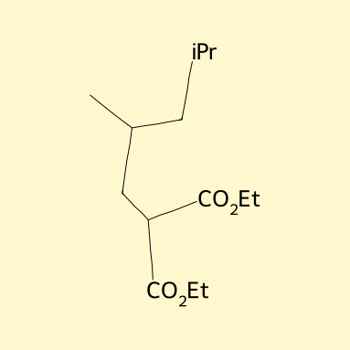 CCOC(=O)C(CC(C)CC(C)C)C(=O)OCC